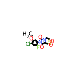 CCOc1cc(N2C(=O)C3CS(=O)(=O)CCN3C2=O)c(F)cc1Cl